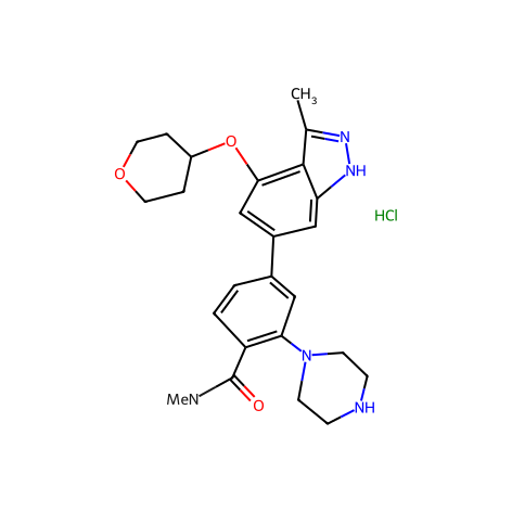 CNC(=O)c1ccc(-c2cc(OC3CCOCC3)c3c(C)n[nH]c3c2)cc1N1CCNCC1.Cl